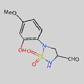 COc1ccc(N2CC(C=O)NS2(=O)=O)c(O)c1